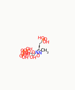 Cc1nc(=O)n(C2CC(O)C(COP(=O)(O)OP(=O)(O)OP(=O)(O)O)O2)cc1C#CCCCP(=O)(O)O